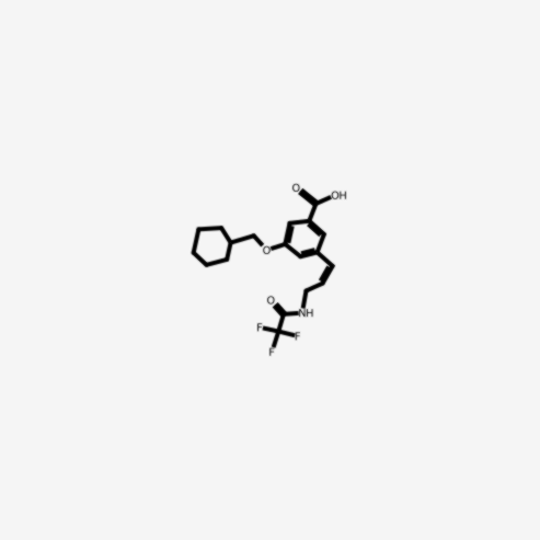 O=C(O)c1cc(/C=C\CNC(=O)C(F)(F)F)cc(OCC2CCCCC2)c1